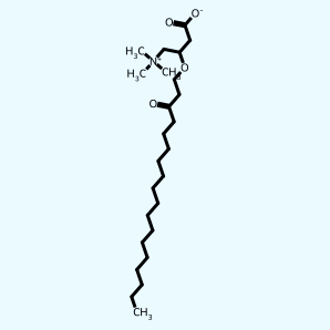 CCCCCCCCCCCCCCCC(=O)CCOC(CC(=O)[O-])C[N+](C)(C)C